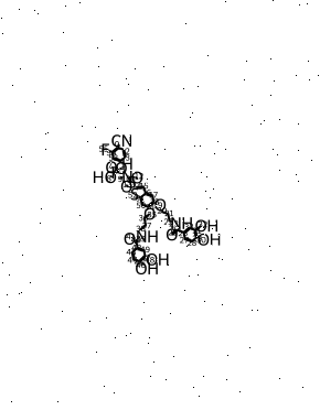 N#Cc1ccc(OP(=O)(O)CNS(=O)(=O)c2cc3cc(OCCCNC(=O)c4ccc(O)c(O)c4)c(OCCCNC(=O)c4ccc(O)c(O)c4)cc3s2)cc1F